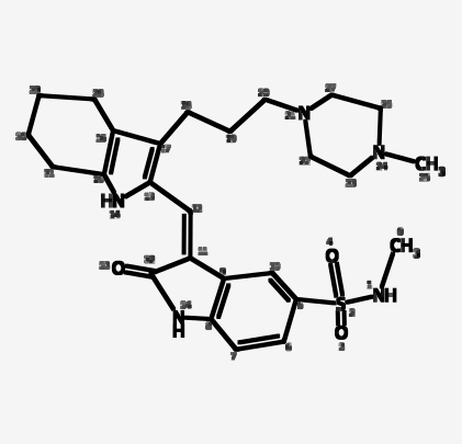 CNS(=O)(=O)c1ccc2c(c1)/C(=C/c1[nH]c3c(c1CCCN1CCN(C)CC1)CCCC3)C(=O)N2